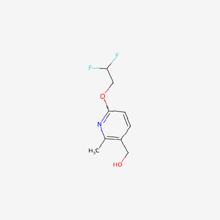 Cc1nc(OCC(F)F)ccc1CO